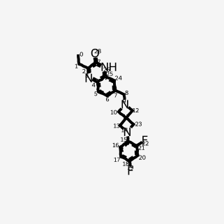 CCc1nc2ccc(CN3CC4(C3)CN(c3ccc(F)cc3F)C4)cc2[nH]c1=O